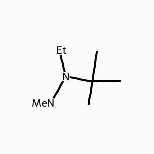 CCN(NC)C(C)(C)C